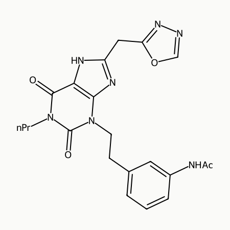 CCCn1c(=O)c2[nH]c(Cc3nnco3)nc2n(CCc2cccc(NC(C)=O)c2)c1=O